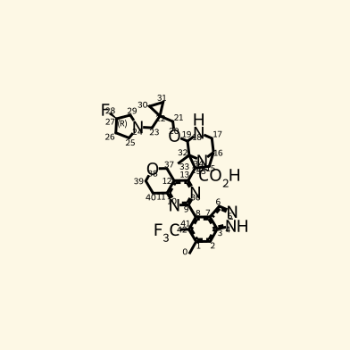 Cc1cc2[nH]ncc2c(-c2nc3c(c(C4CC5CNC(OCC6(CN7CC[C@@H](F)C7)CC6)C4(C)N5C(=O)O)n2)COCC3)c1C(F)(F)F